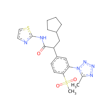 Cc1nnnn1-c1cc(C(CC2CCCC2)C(=O)Nc2nccs2)ccc1S(C)(=O)=O